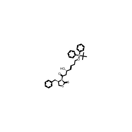 CC(C)(C)[Si](OCC/C=C/[C@@H](O)CC(=O)N1C(=S)SC[C@H]1Cc1ccccc1)(c1ccccc1)c1ccccc1